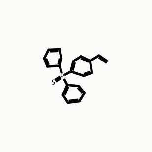 C=Cc1ccc(P(=S)(c2ccccc2)c2ccccc2)cc1